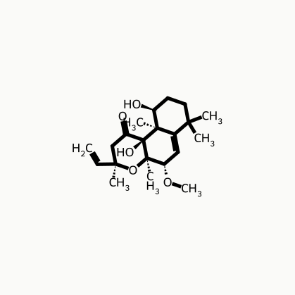 C=C[C@@]1(C)CC(=O)[C@@]2(O)[C@](C)(O1)[C@@H](OC)C=C1C(C)(C)CC[C@H](O)[C@@]12C